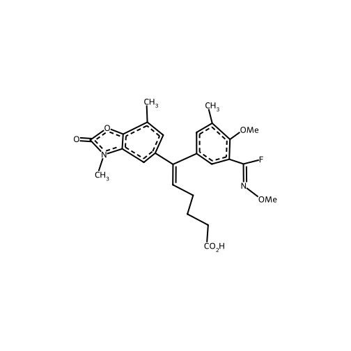 CON=C(F)c1cc(C(=CCCCC(=O)O)c2cc(C)c3oc(=O)n(C)c3c2)cc(C)c1OC